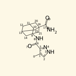 Cc1c[nH]nc1C(=O)NC12CC3CC(C1)CC(C(N)=O)(C3)C2